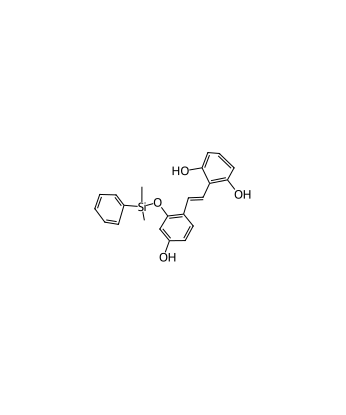 C[Si](C)(Oc1cc(O)ccc1C=Cc1c(O)cccc1O)c1ccccc1